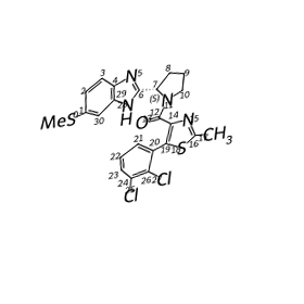 CSc1ccc2nc([C@@H]3CCCN3C(=O)c3nc(C)sc3-c3cccc(Cl)c3Cl)[nH]c2c1